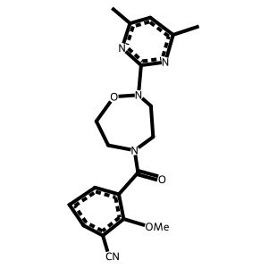 COc1c(C#N)cccc1C(=O)N1CCON(c2nc(C)cc(C)n2)CC1